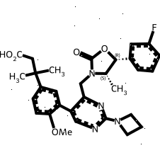 COc1ccc(C(C)(C)CC(=O)O)cc1-c1cnc(N2CCC2)nc1CN1C(=O)O[C@H](c2cccc(F)c2)[C@@H]1C